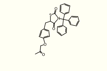 CC(=O)COc1ccc(CC2SC(=O)N(C(c3ccccc3)(c3ccccc3)c3ccccc3)C2=O)cc1